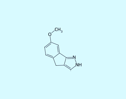 COc1ccc2c(c1)-c1n[nH][c]c1C2